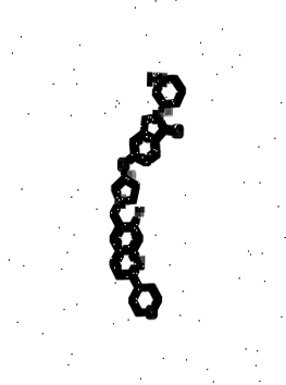 O=C1c2ccc(O[C@H]3CCN(Cc4cc5ccc(C6CCOCC6)nc5cc4F)C3)cc2CN1[C@H]1CCCNC1